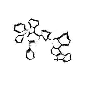 CC1(C)c2ccccc2-c2c1ccc1c2c2ccccc2n1-c1cccc(-c2nc(-c3ccccc3)nc3c2-c2ccccc2[Si]3(c2ccccc2)c2ccccc2)c1